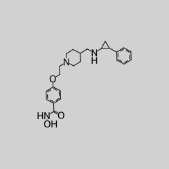 O=C(NO)c1ccc(OCCN2CCC(CNC3CC3c3ccccc3)CC2)cc1